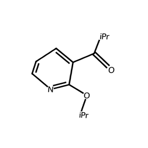 CC(C)Oc1ncccc1C(=O)C(C)C